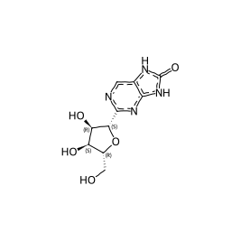 O=c1[nH]c2cnc([C@@H]3O[C@H](CO)[C@@H](O)[C@H]3O)nc2[nH]1